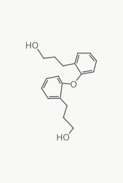 OCCCc1ccccc1Oc1ccccc1CCCO